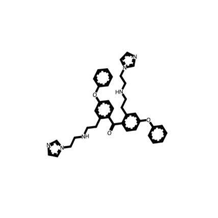 O=C(c1ccc(Oc2ccccc2)cc1CCNCCn1ccnc1)c1ccc(Oc2ccccc2)cc1CCNCCn1ccnc1